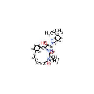 CC(C)c1cccc(CNC[C@@H](O)[C@@H]2Cc3cccc(c3)CCCCCCC(=O)N(C)[C@@H](C)C(=O)N2)c1